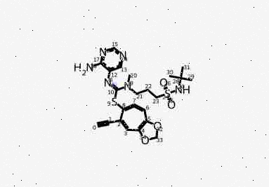 C#CC1=CC2=C(C=C=C1S/C(=N/c1cncnc1N)N(C)CCCS(=O)(=O)NC(C)(C)C)OCO2